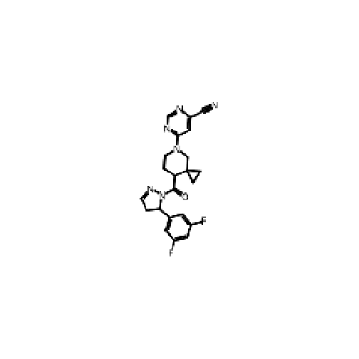 N#Cc1cc(N2CCC(C(=O)N3N=CCC3c3cc(F)cc(F)c3)C3(CC3)C2)ncn1